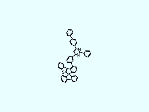 c1ccc(-c2ccc(-c3cc(-c4cccc(-c5cccc6c5-c5c(sc7ccccc57)C65c6ccccc6-c6ccccc65)c4)nc(-c4ccccc4)n3)cc2)cc1